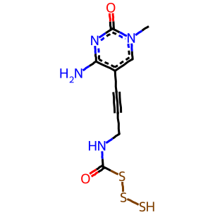 Cn1cc(C#CCNC(=O)SSS)c(N)nc1=O